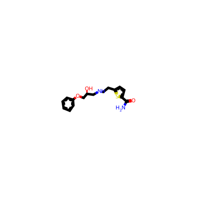 NC(=O)c1ccc(CCNC[C@H](O)COc2ccccc2)s1